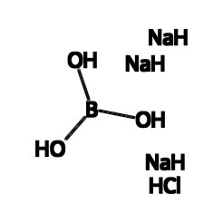 Cl.OB(O)O.[NaH].[NaH].[NaH]